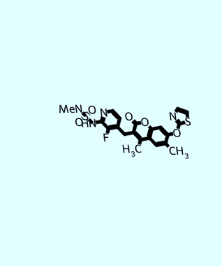 CNS(=O)(=O)Nc1nccc(Cc2c(C)c3cc(C)c(Oc4nccs4)cc3oc2=O)c1F